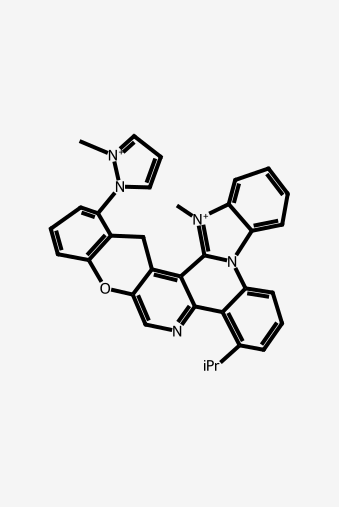 CC(C)c1cccc2c1c1ncc3c(c1c1n2c2ccccc2[n+]1C)Cc1c(cccc1-n1ccc[n+]1C)O3